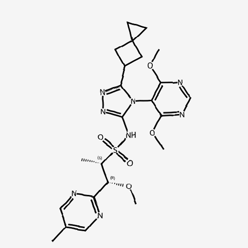 COc1ncnc(OC)c1-n1c(NS(=O)(=O)[C@@H](C)[C@H](OC)c2ncc(C)cn2)nnc1C1CC2(CC2)C1